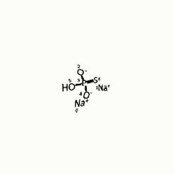 [Na+].[Na+].[O-]P([O-])(O)=S